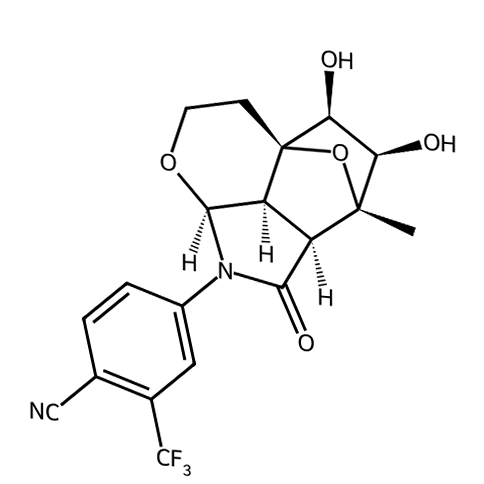 C[C@]12O[C@@]3(CCO[C@H]4[C@@H]3[C@@H]1C(=O)N4c1ccc(C#N)c(C(F)(F)F)c1)[C@@H](O)[C@H]2O